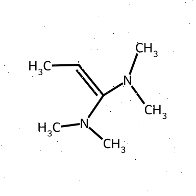 C[C]=C(N(C)C)N(C)C